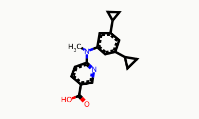 CN(c1cc(C2CC2)cc(C2CC2)c1)c1ccc(C(=O)O)cn1